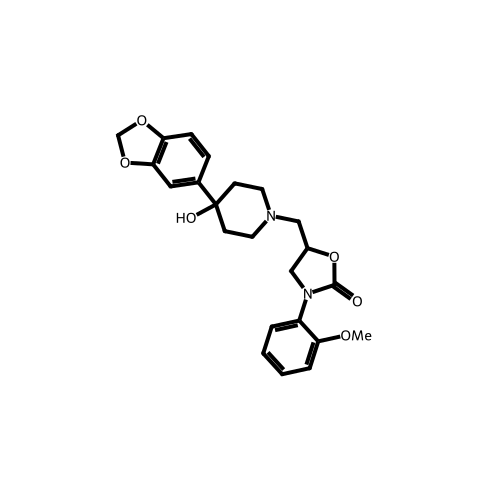 COc1ccccc1N1CC(CN2CCC(O)(c3ccc4c(c3)OCO4)CC2)OC1=O